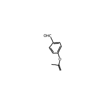 C=C(C)Oc1ccc(C=O)cc1